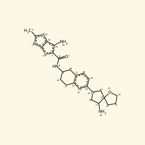 Cc1nc2sc(C(=O)NC3CCc4nc(N5CC(N)C6(CCCO6)C5)ccc4C3)c(N)c2s1